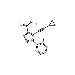 Cc1ccccc1-n1nnc(C(N)=O)c1C#CC1CC1